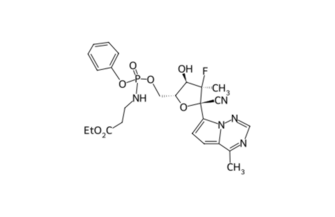 CCOC(=O)CCNP(=O)(OC[C@H]1O[C@@](C#N)(c2ccc3c(C)ncnn23)[C@](C)(F)[C@@H]1O)Oc1ccccc1